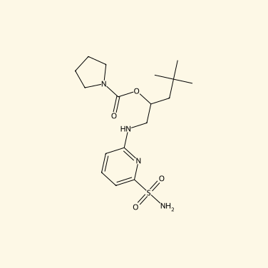 CC(C)(C)CC(CNc1cccc(S(N)(=O)=O)n1)OC(=O)N1CCCC1